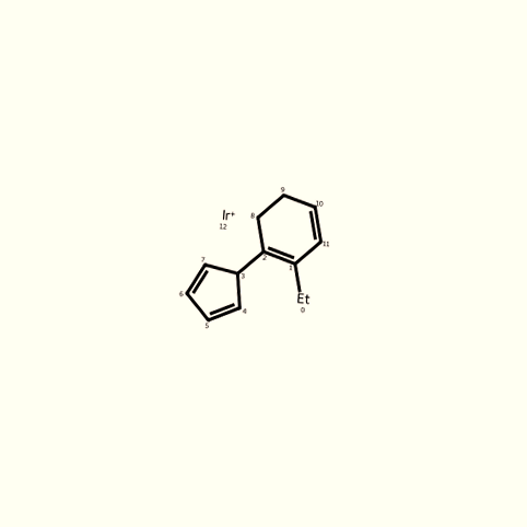 CCC1=C(C2C=CC=C2)CCC=C1.[Ir+]